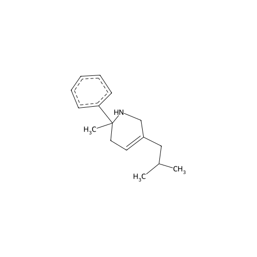 CC(C)CC1=CCC(C)(c2ccccc2)NC1